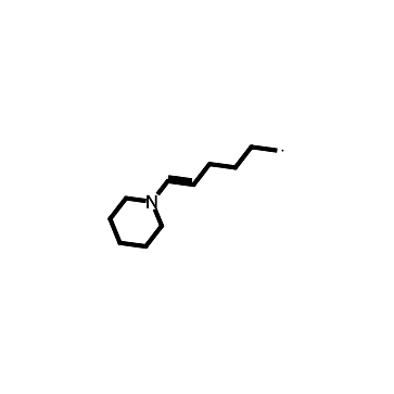 [CH2]CCCC=CN1CCCCC1